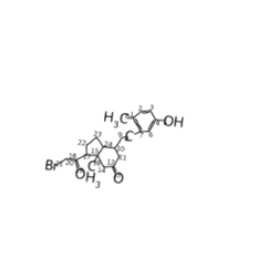 Cc1ccc(O)cc1CCC1CC(=O)CC2(C)C(C(=O)CBr)CCC12